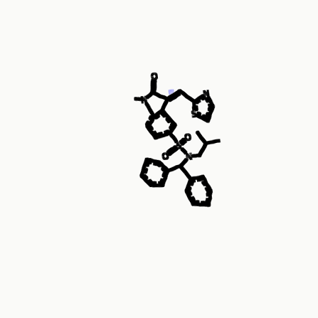 CC(C)CN(C(c1ccccc1)c1ccccc1)S(=O)(=O)c1ccc2c(c1)/C(=C\c1nccs1)C(=O)N2C